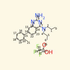 CCCN(CCC)c1nc(N)nc2cc(-c3ccccc3C)ccc12.O=C(O)C(F)(F)F